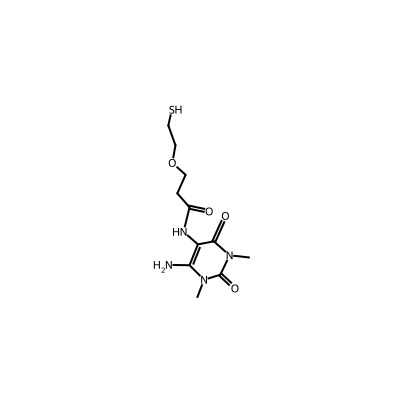 Cn1c(N)c(NC(=O)CCOCCS)c(=O)n(C)c1=O